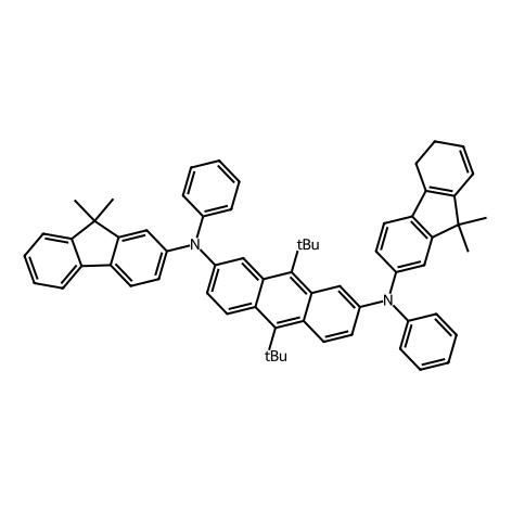 CC(C)(C)c1c2ccc(N(c3ccccc3)c3ccc4c(c3)C(C)(C)C3=C4CCC=C3)cc2c(C(C)(C)C)c2cc(N(c3ccccc3)c3ccc4c(c3)C(C)(C)c3ccccc3-4)ccc12